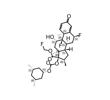 C[C@@H]1C[C@H](C)C[C@H](OC(=O)O[C@]2(C(=O)OCF)[C@H](C)C[C@H]3[C@@H]4C[C@H](F)C5=CC(=O)C=C[C@]5(C)[C@@]4(F)[C@@H](O)C[C@@]32C)C1